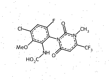 COc1c(Cl)cc(F)c(-n2c(=O)cc(C(F)(F)F)n(C)c2=O)c1NC(=O)O